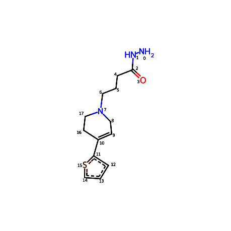 NNC(=O)CCCN1CC=C(c2cccs2)CC1